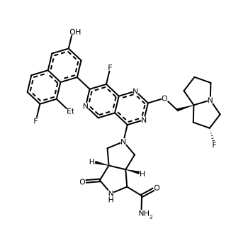 CCc1c(F)ccc2cc(O)cc(-c3ncc4c(N5C[C@@H]6C(C(N)=O)NC(=O)[C@@H]6C5)nc(OC[C@@]56CCCN5C[C@H](F)C6)nc4c3F)c12